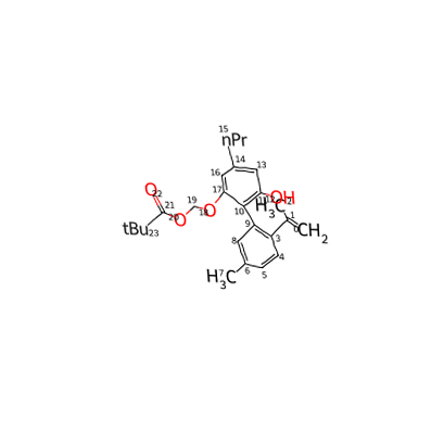 C=C(C)c1ccc(C)cc1-c1c(O)cc(CCC)cc1OCOC(=O)C(C)(C)C